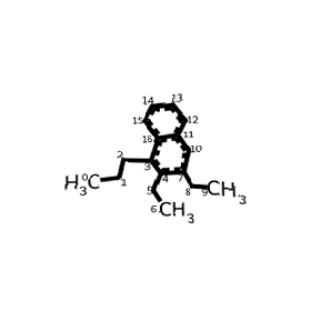 CCCc1c(CC)c(CC)cc2ccccc12